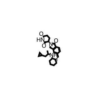 CC(CC1CC1)NC1CCCC[C@@H]1Cc1ccc2c(c1)CN(C1CCC(=O)NC1=O)C2=O